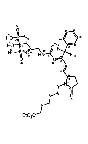 CCOC(=O)CCCCCCN1C(=O)CC[C@@H]1/C=C/[C@@H](OC(=O)NCCCC(O)(P(=O)(O)O)P(=O)(O)O)C(F)(F)c1ccccc1